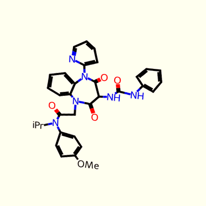 COc1ccc(N(C(=O)CN2C(=O)C(NC(=O)Nc3ccccc3)C(=O)N(c3ccccn3)c3ccccc32)C(C)C)cc1